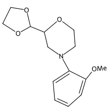 COc1ccccc1N1CCOC(C2OCCO2)C1